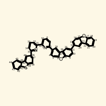 c1cc(-c2ccc3oc4ccc(-c5ccc6oc7ccccc7c6c5)cc4c3c2)nc(-c2cccc(-c3ccc4sc5ccccc5c4c3)n2)c1